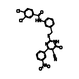 N#Cc1c(-c2cccc([N+](=O)[O-])c2)nc(SCc2cccc(NC(=O)c3ccc(Cl)c(Cl)c3)c2)[nH]c1=O